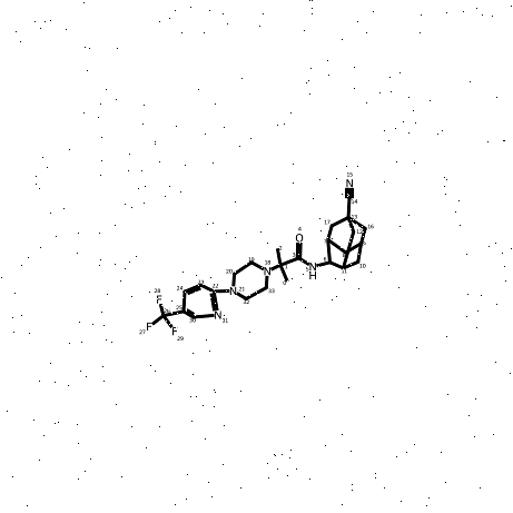 CC(C)(C(=O)NC1C2CC3CC1CC(C#N)(C3)C2)N1CCN(c2ccc(C(F)(F)F)cn2)CC1